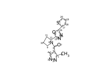 Cc1nnsc1C(=O)N1CCCC1c1nnc(-c2cccs2)o1